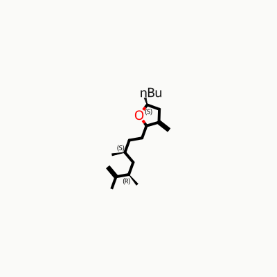 C=C1C[C@H](CCCC)OC1CC[C@H](C)C[C@@H](C)C(=C)C